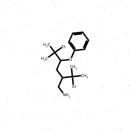 CCC(C)(C)C(CN)CC(Oc1ccccc1)C(C)(C)CC